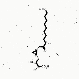 CCCCCCCCCCCCCCCCCC[C@H](C)C(=O)C[C@H]1C[C@H]1C[C@@H](O)[C@@H](CC)C(=O)O